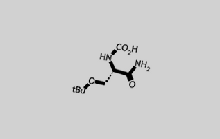 CC(C)(C)OC[C@H](NC(=O)O)C(N)=O